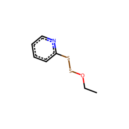 CCOSSc1ccccn1